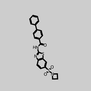 O=C(Nc1nc2ccc(S(=O)(=O)N3CCC3)cc2s1)c1ccc(-c2ccccc2)cc1